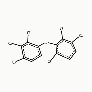 Clc1ccc(Oc2c(Cl)ccc(Cl)c2Cl)c(Cl)c1Cl